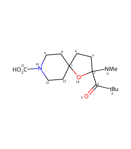 CNC1(C(=O)C(C)(C)C)CCC2(CCN(C(=O)O)CC2)O1